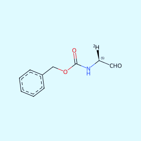 [2H][C@@H](C=O)NC(=O)OCc1ccccc1